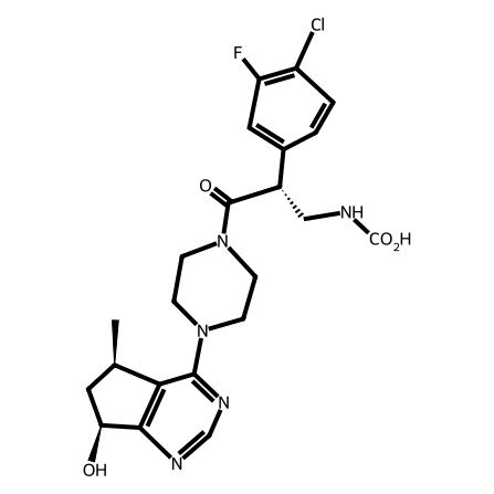 C[C@@H]1C[C@H](O)c2ncnc(N3CCN(C(=O)[C@@H](CNC(=O)O)c4ccc(Cl)c(F)c4)CC3)c21